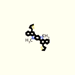 Cn1c2cc3c4cc(-c5cccs5)c5ccccc5c4n(C)c3cc2c2cc(-c3cccs3)c3ccccc3c21